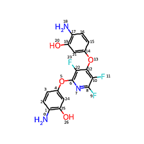 Nc1ccc(Oc2nc(F)c(F)c(Oc3ccc(N)c(O)c3)c2F)cc1O